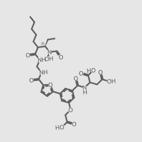 CCCCCC(C(=O)NCNC(=O)c1ccc(-c2cc(OCC(=O)O)cc(C(=O)NC(CC(=O)O)C(=O)O)c2)o1)[C@@H](CC)N(O)C=O